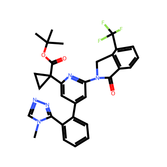 Cn1cnnc1-c1ccccc1-c1cc(N2Cc3c(cccc3C(F)(F)F)C2=O)nc(C2(C(=O)OC(C)(C)C)CC2)c1